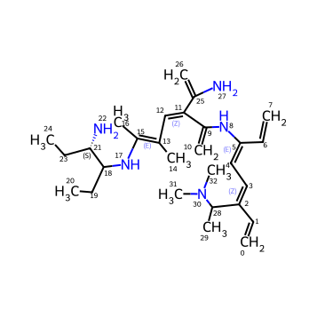 C=C/C(=C/C=C(\C=C)NC(=C)/C(=C\C(C)=C(/C)NC(CC)[C@@H](N)CC)C(=C)N)C(C)N(C)C